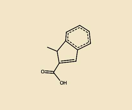 CC1C(C(=O)O)=Cc2ccccc21